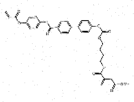 C=CC(=O)Oc1ccc(OC(=O)c2ccc(-c3ccc(OC(=O)OCCCCOC(=O)C(=C)CC(=O)OC)cc3)cc2)cc1